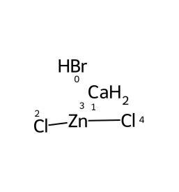 Br.[CaH2].[Cl][Zn][Cl]